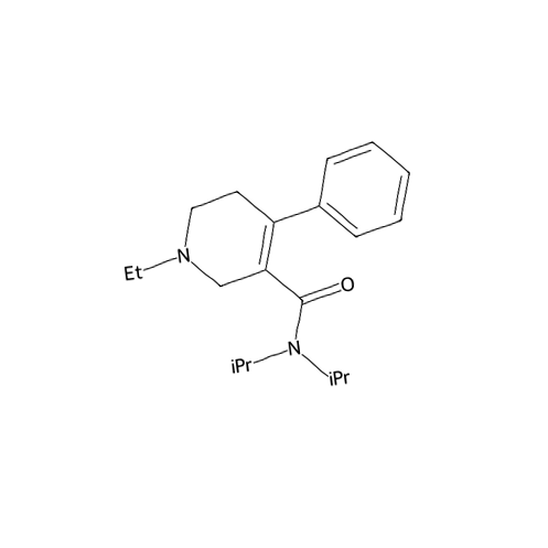 CCN1CCC(c2ccccc2)=C(C(=O)N(C(C)C)C(C)C)C1